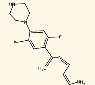 C=C(/N=C\C=C/N)c1cc(F)c(N2CCNCC2)cc1F